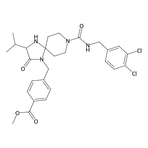 COC(=O)c1ccc(CN2C(=O)C(C(C)C)NC23CCN(C(=O)NCc2ccc(Cl)c(Cl)c2)CC3)cc1